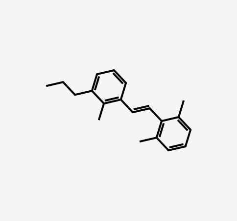 CCCc1cccc(/C=C/c2c(C)cccc2C)c1C